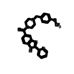 O=C(c1ccc2[nH]c(-c3ccccn3)nc2c1)N1CCN(Cc2ccc(OC(F)(F)F)cc2)CC1